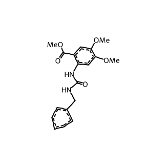 COC(=O)c1cc(OC)c(OC)cc1NC(=O)NCc1ccccc1